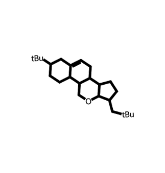 CC(C)(C)CC1CCC2C3CC=C4CC(C(C)(C)C)CCC4C3COC12